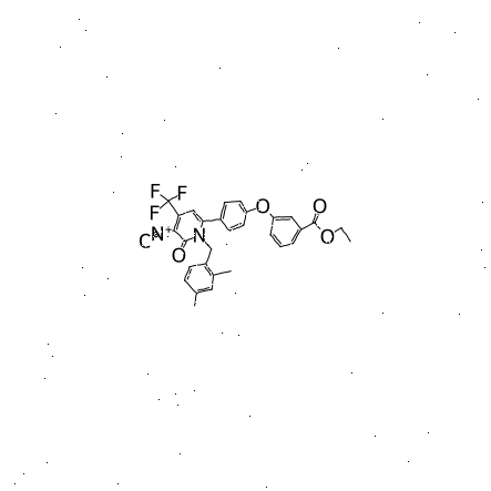 [C-]#[N+]c1c(C(F)(F)F)cc(-c2ccc(Oc3cccc(C(=O)OCC)c3)cc2)n(Cc2ccc(C)cc2C)c1=O